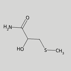 CSCC(O)C(N)=O